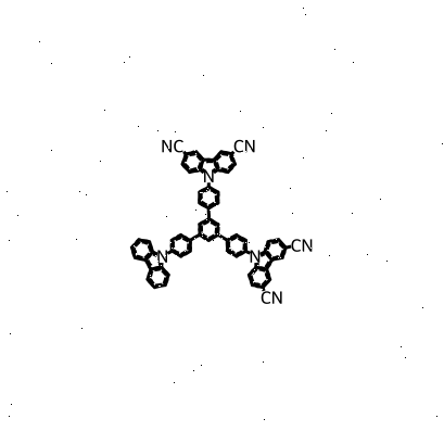 N#Cc1ccc2c(c1)c1cc(C#N)ccc1n2-c1ccc(-c2cc(-c3ccc(-n4c5ccccc5c5ccccc54)cc3)cc(-c3ccc(-n4c5ccc(C#N)cc5c5cc(C#N)ccc54)cc3)c2)cc1